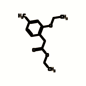 CCOC(=O)Cc1ccc(C)cc1OCC